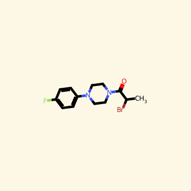 CC(Br)C(=O)N1CCN(c2ccc(F)cc2)CC1